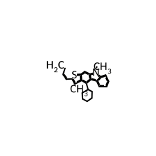 C=C/C=C\c1sc2cc3c(c(C4CCCCC4)c2c1C)c1ccccc1n3C